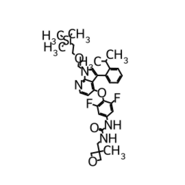 CC(C)c1ccccc1-c1cn(COCC[Si](C)(C)C)c2nccc(Oc3c(F)cc(NC(=O)NCC4(C)COC4)cc3F)c12